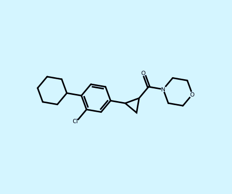 O=C(C1CC1c1ccc(C2CCCCC2)c(Cl)c1)N1CCOCC1